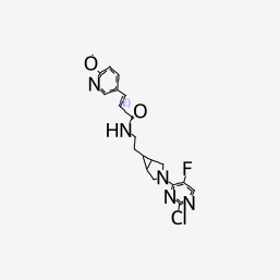 COc1ccc(/C=C/C(=O)NCCC2C3CN(c4nc(Cl)ncc4F)CC23)cn1